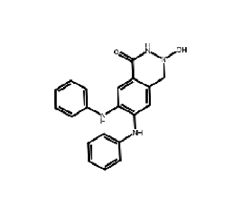 O=C1NN(O)Cc2cc(Nc3ccccc3)c(Nc3ccccc3)cc21